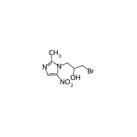 Cc1ncc([N+](=O)[O-])n1CC(O)CBr